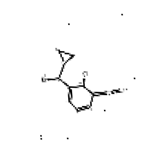 O=C=C1C=CC=C(C(Br)C2CC2)C1Cl